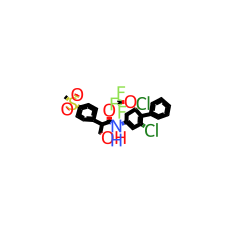 CS(=O)(=O)c1ccc(C(CO)C(=O)NC2=CC(Cl)=C(c3ccccc3)C(Cl)(OC(F)(F)F)C2)cc1